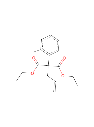 C=CCC(C(=O)OCC)(C(=O)OCC)c1ccccc1C